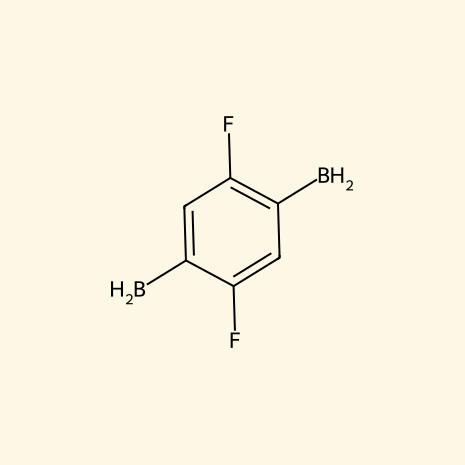 Bc1cc(F)c(B)cc1F